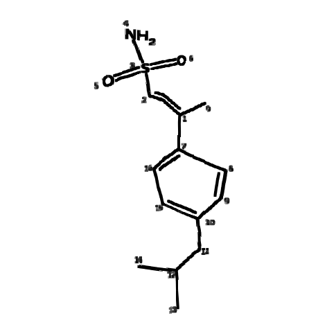 CC(=CS(N)(=O)=O)c1ccc(CC(C)C)cc1